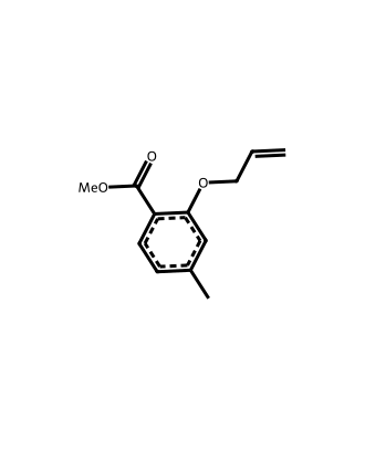 C=CCOc1cc(C)ccc1C(=O)OC